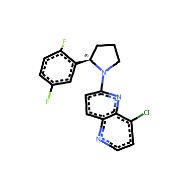 Fc1ccc(F)c([C@H]2CCCN2c2ccc3nccc(Cl)c3n2)c1